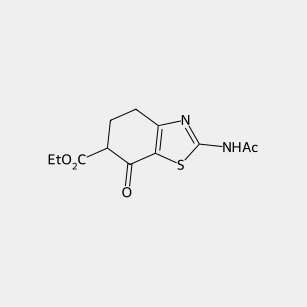 CCOC(=O)C1CCc2nc(NC(C)=O)sc2C1=O